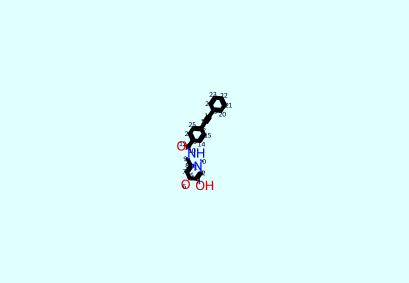 Cn1cc(O)c(=O)cc1CNC(=O)c1ccc(C#Cc2ccccc2)cc1